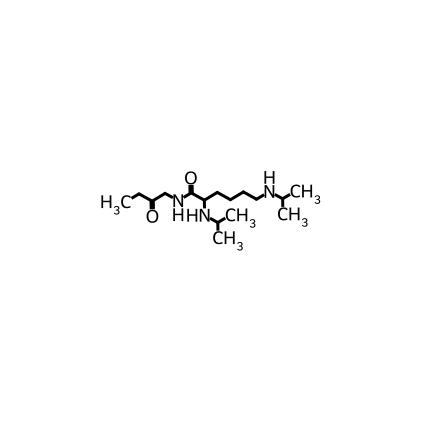 CCC(=O)CNC(=O)C(CCCCNC(C)C)NC(C)C